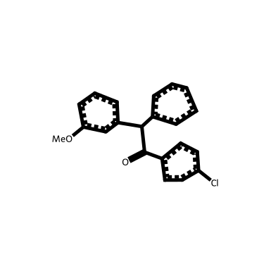 COc1cccc(C(C(=O)c2ccc(Cl)cc2)c2ccccc2)c1